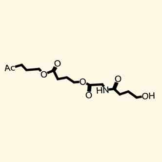 CC(=O)CCCOC(=O)CCCOC(=O)CNC(=O)CCCO